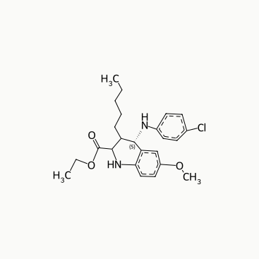 CCCCCC1C(C(=O)OCC)Nc2ccc(OC)cc2[C@H]1Nc1ccc(Cl)cc1